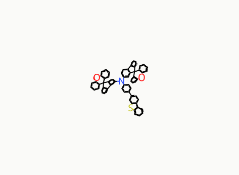 c1ccc2c(c1)Oc1ccccc1C21c2ccccc2-c2cc(N(c3ccc(-c4ccc5c(c4)sc4ccccc45)cc3)c3ccc4c(c3)C3(c5ccccc5Oc5ccccc53)c3ccccc3-4)ccc21